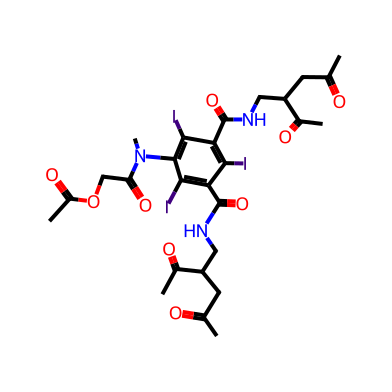 CC(=O)CC(CNC(=O)c1c(I)c(C(=O)NCC(CC(C)=O)C(C)=O)c(I)c(N(C)C(=O)COC(C)=O)c1I)C(C)=O